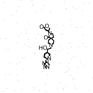 O=C1C=C(N2CCC3(CCN(CC(O)c4ccc(-n5cnnn5)nc4)CC3)C2=O)CO1